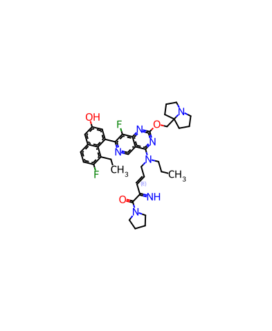 CCCN(C/C=C/C(=N)C(=O)N1CCCC1)c1nc(OCC23CCCN2CCC3)nc2c(F)c(-c3cc(O)cc4ccc(F)c(CC)c34)ncc12